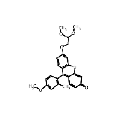 COc1ccc(-c2c3ccc(=O)cc-3oc3cc(OCC(OC)OC)ccc23)c(C)c1